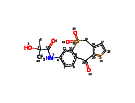 CC(O)(C(=O)Nc1ccc2c(c1)S(=O)(=O)Cc1ccsc1C2=O)C(F)(F)F